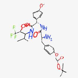 COc1ccc([C@H](NC(=O)[C@@H](N)Cc2ccc(OCC(=O)OC(C)(C)C)cc2)C(=O)N[C@@H](C(C)C)[C@H](O)C(F)(F)F)cc1